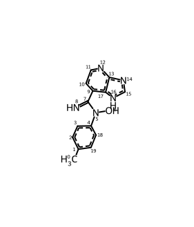 Cc1ccc(N(O)C(=N)c2ccnc3nc[nH]c23)cc1